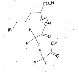 CC(C)CCCC(N)C(=O)O.O=C(O)C(F)(F)F.O=C(O)C(F)(F)F